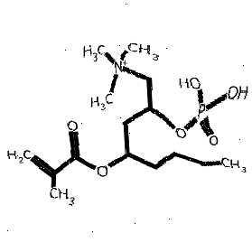 C=C(C)C(=O)OC(CCCC)CC(C[N+](C)(C)C)OP(=O)(O)O